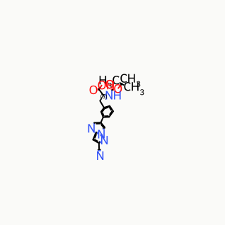 CC(C)(C)OC(=O)N[C@@H](Cc1cccc(-c2cnc3cc(C#N)nn3c2)c1)C(=O)O